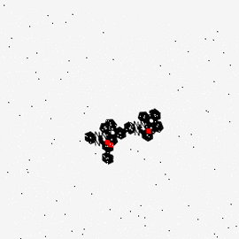 c1ccc(-c2cccc(-c3nc4ccccc4nc3-n3c4cccc5c4c4c6c(cccc6ccc43)-c3cc(-c4ccc6nc(-n7c8cccc9c8c8c%10c(cccc%10ccc87)-c7ccccc7-9)c(-c7ccccc7)nc6c4)ccc3-5)c2)cc1